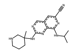 CC(C)Nc1nc(C#N)cc2cnc(NC3(C)CCCNC3)nc12